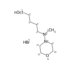 Br.CCCCCCCCCCCCN(C)N1CCOCC1